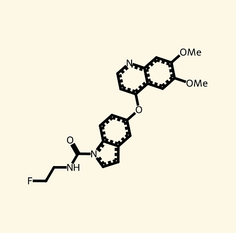 COc1cc2nccc(Oc3ccc4c(ccn4C(=O)NCCF)c3)c2cc1OC